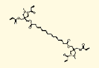 C=CC(=O)OCC(COC)(COC(=O)C=C)COC(=O)CCCCCCCCCCCCC(=O)OCC(COC)(COC(=O)C=C)COC(=O)C=C